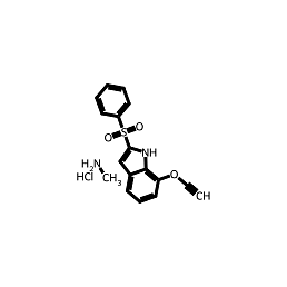 C#COc1cccc2cc(S(=O)(=O)c3ccccc3)[nH]c12.CN.Cl